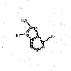 CC(C)c1nncc2c1nc(N)n2C(C)C